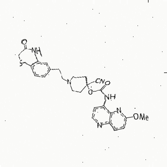 COc1ccc2nccc(NC(=O)OC3(C#N)CCN(CCc4ccc5c(c4)NC(=O)CS5)CC3)c2n1